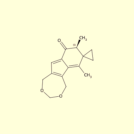 CC1=C2C(=CC3=C2COCOC3)C(=O)[C@@H](C)C12CC2